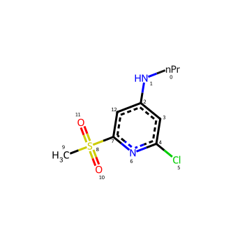 CCCNc1cc(Cl)nc(S(C)(=O)=O)c1